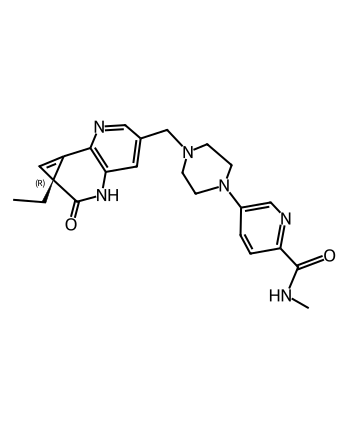 CC[C@@]12C=C1c1ncc(CN3CCN(c4ccc(C(=O)NC)nc4)CC3)cc1NC2=O